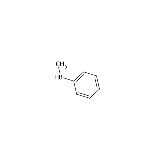 CBc1ccccc1